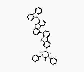 c1ccc(C2NC(c3ccccc3)NC(c3ccc4c(c3)sc3c(-c5cccc6c5-c5cccc(-n7c8ccccc8c8ccccc87)c5C6)cccc34)N2)cc1